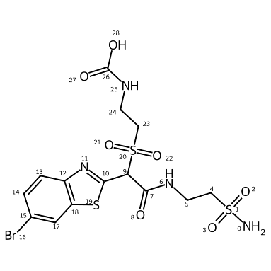 NS(=O)(=O)CCNC(=O)C(c1nc2ccc(Br)cc2s1)S(=O)(=O)CCNC(=O)O